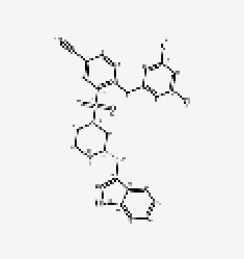 N#Cc1ccc(Cc2cc(Cl)cc(Cl)c2)c(S(=O)(=O)N2CCN[C@@H](Cc3c[nH]c4ccccc34)C2)c1